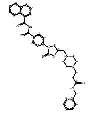 N=C(NC(=O)c1cccc2ccccc12)c1ccc(N2CC(CN3CCN(CCC(=O)OCc4ccccc4)CC3)OC2=O)cc1